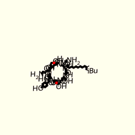 CC[C@H](C)C[C@H](C)CCCCCCCCC(=O)N1[C@@H](C)C(=O)N[C@@H]([C@@H](C)O)C(=O)N2C[C@H](O)C[C@H]2C(=O)N[C@@H]([C@H](O)[C@@H](O)c2ccc(O)cc2)C(=O)N[C@@H]([C@H](O)CCN)C(=O)N2CC[C@H](O)[C@H]2C(=O)N[C@H](NCCN)[C@@H]1O